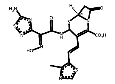 Cc1ncsc1C=CC1=C(C(=O)O)N2C(=O)C[C@@H]2SC1NC(=O)C(=NO)c1nsc(N)n1